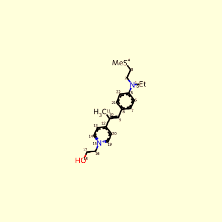 CCN(CCSC)c1ccc(/C=C(\C)c2cc[n+](CCO)cc2)cc1